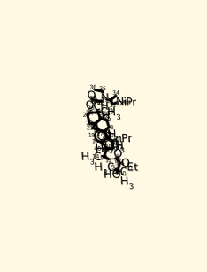 CCC[C@H]1[C@H]2O[C@@H]([C@H](OCC)C(C)(C)O)C[C@@H](C)[C@@H]2[C@@]2(C)CC[C@@]34CC35CC[C@H](O[C@H]3CN(C6CN(C(C)C)C6)CCO3)C(C)(C)[C@@H]5CC[C@H]4[C@]12C